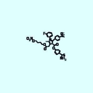 Cc1c(CC(=O)OCCCCO[N+](=O)[O-])c(C(=O)Oc2ccc(C(N)=S)cc2)c(-c2ccc([S+](C)[O-])cc2)n1-c1cccc(F)c1